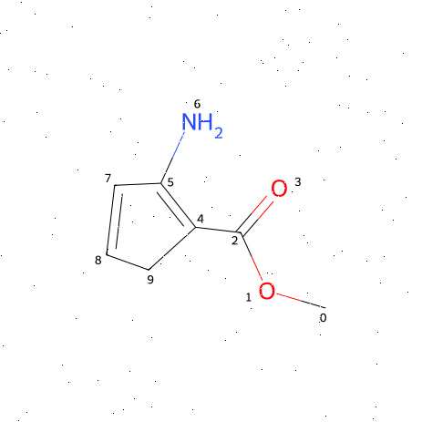 COC(=O)C1=C(N)C=CC1